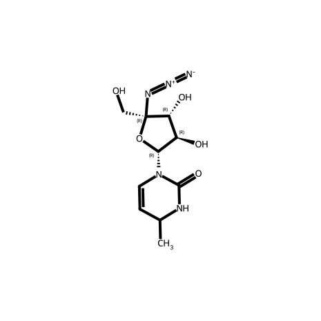 CC1C=CN([C@@H]2O[C@@](CO)(N=[N+]=[N-])[C@H](O)[C@H]2O)C(=O)N1